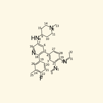 C=Nc1cc(-c2cc(NC3CCN(C)CC3)cnc2-c2ccc(F)c(C)c2)ccc1/N=C\C